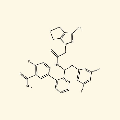 NC(=O)c1cc(-c2cccnc2C(Cc2cc(F)cc(F)c2)NC(=O)Cn2nc(C(F)(F)F)c3c2CSC3)ccc1F